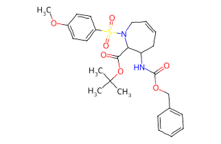 COc1ccc(S(=O)(=O)N2CC=CCC(NC(=O)OCc3ccccc3)C2C(=O)OC(C)(C)C)cc1